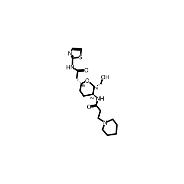 O=C(C[C@H]1CC[C@H](NC(=O)CCN2CCCCC2)[C@@H](CO)O1)Nc1nccs1